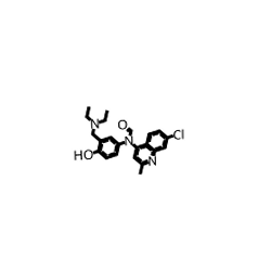 CCN(CC)Cc1cc(N(C=O)c2cc(C)nc3cc(Cl)ccc23)ccc1O